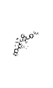 CCCCC(COC(=O)N(Cc1ccc(N=[N+]=[N-])cc1)Cc1cccs1)NC(=O)NC(CC(=O)O)c1ccc2c(c1)OCO2